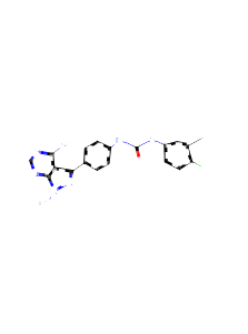 CC(C)n1nc(-c2ccc(NC(=O)Nc3ccc(Cl)c(C(F)(F)F)c3)cc2)c2c(N)ncnc21